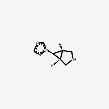 c1nnnn1[C@H]1[C@@H]2CNC[C@@H]21